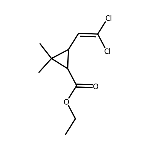 CCOC(=O)C1C(C=C(Cl)Cl)C1(C)C